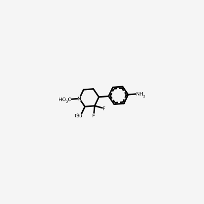 CC(C)(C)C1N(C(=O)O)CCC(c2ccc(N)cc2)C1(F)F